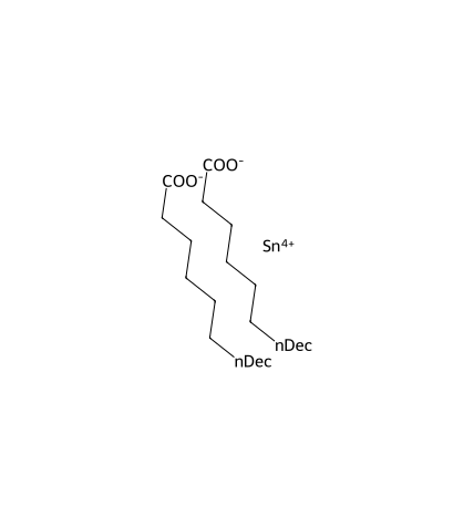 CCCCCCCCCCCCCCCC(=O)[O-].CCCCCCCCCCCCCCCC(=O)[O-].[Sn+4]